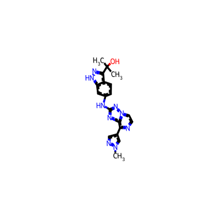 Cn1cc(-c2nccn3nc(Nc4ccc5c(C(C)(C)O)n[nH]c5c4)nc23)cn1